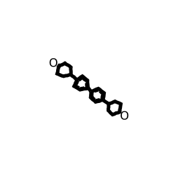 O=C1CCC(c2ccc(-c3ccc(C4CCC(=O)CC4)cc3)cc2)CC1